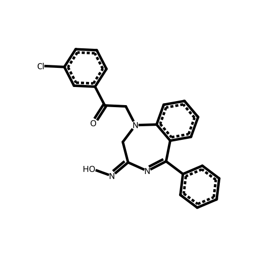 O=C(CN1CC(=NO)N=C(c2ccccc2)c2ccccc21)c1cccc(Cl)c1